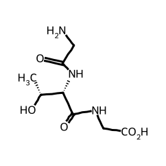 C[C@@H](O)[C@H](NC(=O)CN)C(=O)NCC(=O)O